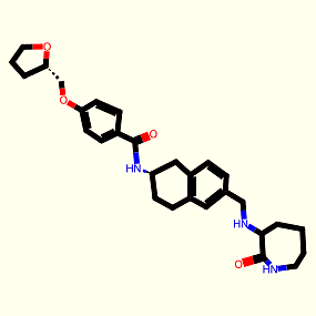 O=C(N[C@H]1CCc2cc(CNC3CCCCNC3=O)ccc2C1)c1ccc(OC[C@@H]2CCCO2)cc1